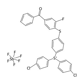 O=C(c1ccccc1)c1ccc(Sc2ccc([S+](c3ccc(Cl)cc3)c3ccc(Cl)cc3)cc2)c(F)c1.[F][Sb-]([F])([F])([F])([F])[F]